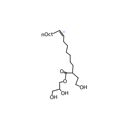 CCCCCCCC/C=C\CCCCCCC(CCO)C(=O)OCC(O)CO